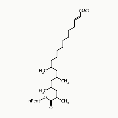 CCCCCCCCC=CCCCCCCCCC(C)CC(C)CC(C)CC(C)C(=O)OCCCCC